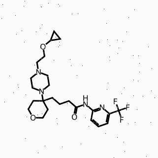 O=C(CCCC1(N2CCN(CCOC3CC3)CC2)CCOCC1)Nc1cccc(C(F)(F)F)n1